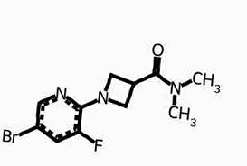 CN(C)C(=O)C1CN(c2ncc(Br)cc2F)C1